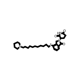 O=C1CCC(N2Cc3c(SCCCCCCCCCCCN4CCCCC4)cccc3C2=O)C(=O)N1